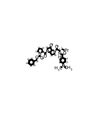 CC(C)C[C@H](NC(=O)c1ccc(N(C)C)cc1)C(=O)N1CCC2C1C(=O)CN2C(=O)[C@@H]1CCCN1C(=O)OCc1ccccc1